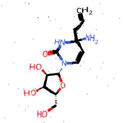 C=CCC1(N)C=CN([C@@H]2O[C@H](CO)[C@@H](O)[C@H]2O)C(=O)N1